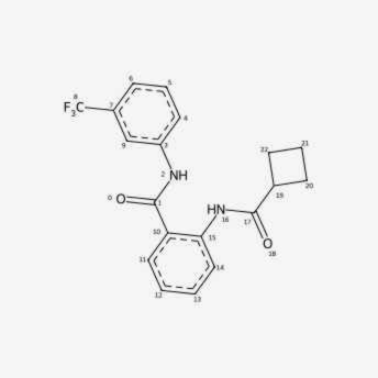 O=C(Nc1cccc(C(F)(F)F)c1)c1ccccc1NC(=O)C1CCC1